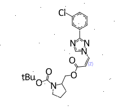 CC(C)(C)OC(=O)N1CCCC1COC(=O)/C=C\n1cnc(-c2cccc(Cl)c2)n1